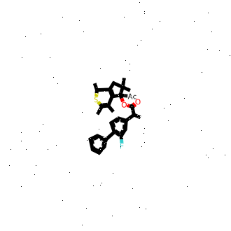 CC(=O)C1(OC(=O)C(C)c2ccc(-c3ccccc3)c(F)c2)C2=C(CC1(C)C)C(C)SC(C)=C2C